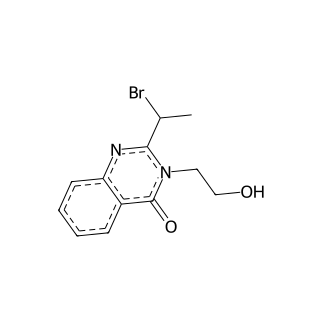 CC(Br)c1nc2ccccc2c(=O)n1CCO